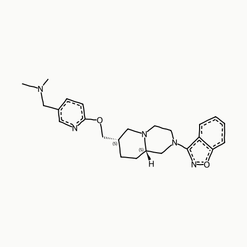 CN(C)Cc1ccc(OC[C@H]2CC[C@H]3CN(c4noc5ccccc45)CCN3C2)nc1